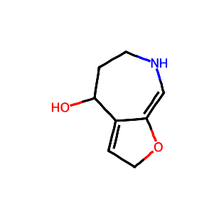 OC1CCNC=C2OCC=C21